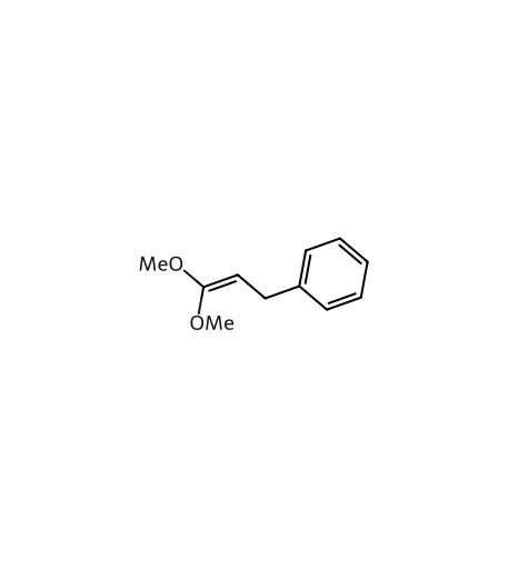 COC(=CCc1ccccc1)OC